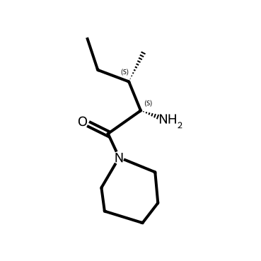 CC[C@H](C)[C@H](N)C(=O)N1CCCCC1